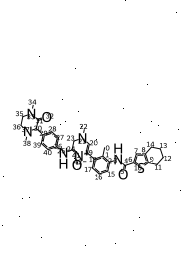 Cc1c(NC(=O)c2cc3c(s2)CCCC3)cccc1C1=CN(C)CC(Nc2ccc(C3C(=O)N(C)CCN3C)cc2)=[N+]1[O-]